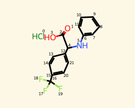 Cl.O=C(O)C(Nc1ccccc1)c1ccc(C(F)(F)F)cc1